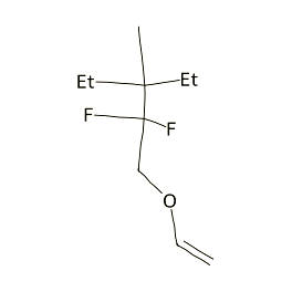 C=COCC(F)(F)C(C)(CC)CC